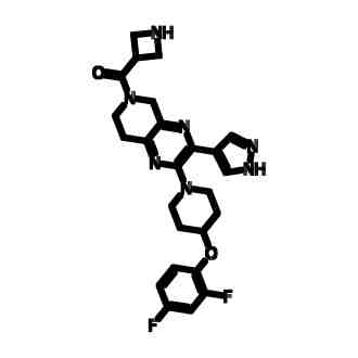 O=C(C1CNC1)N1CCc2nc(N3CCC(Oc4ccc(F)cc4F)CC3)c(-c3cn[nH]c3)nc2C1